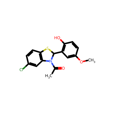 COc1ccc(O)c(C2Sc3ccc(Cl)cc3N2C(C)=O)c1